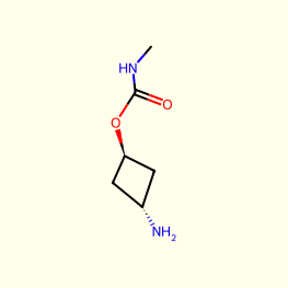 CNC(=O)O[C@H]1C[C@H](N)C1